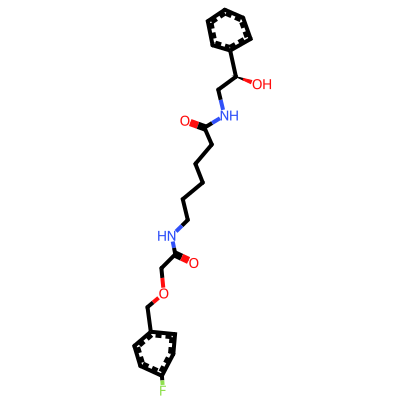 O=C(CCCCCNC(=O)COCc1ccc(F)cc1)NC[C@H](O)c1ccccc1